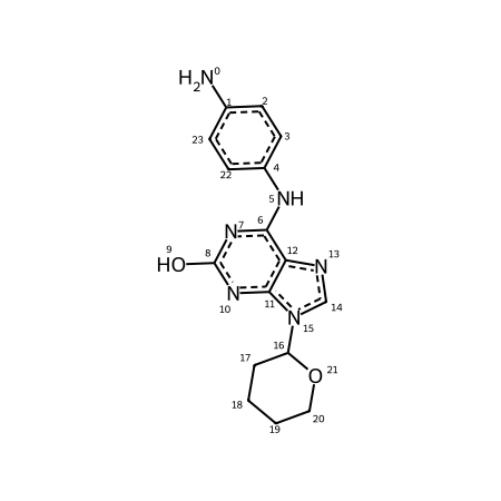 Nc1ccc(Nc2nc(O)nc3c2ncn3C2CCCCO2)cc1